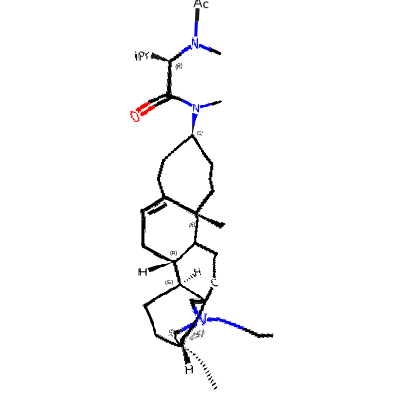 CC(=O)N(C)[C@@H](C(=O)N(C)[C@H]1CC[C@@]2(C)C(=CC[C@@H]3C2CCC24CN(C)[C@@H](C)[C@H]2CC[C@@H]34)C1)C(C)C